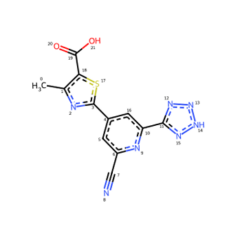 Cc1nc(-c2cc(C#N)nc(-c3nn[nH]n3)c2)sc1C(=O)O